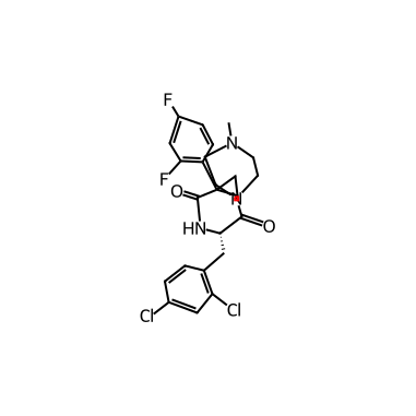 CN1CCN(C(=O)[C@H](Cc2ccc(Cl)cc2Cl)NC(=O)C2(c3ccc(F)cc3F)CC2)CC1